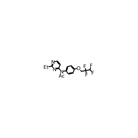 CCc1nccc(N(C(C)=O)c2ccc(OCC(F)(F)C(F)F)cc2)n1